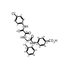 O=C(Nc1ccc(Cl)cc1)C(=O)N[C@@H](Cc1ccccc1)C(=O)Nc1ccc(C(=O)O)cc1